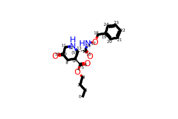 CCCCOC(=O)[C@H]1CC(=O)CN[C@@H]1C(=O)NOCc1ccccc1